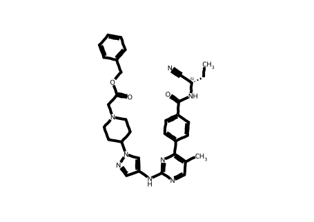 CC[C@@H](C#N)NC(=O)c1ccc(-c2nc(Nc3cnn(C4CCN(CC(=O)OCc5ccccc5)CC4)c3)ncc2C)cc1